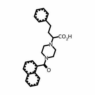 O=C(O)C(CCc1ccccc1)N1CCN(C(=O)c2cccc3ccccc23)CC1